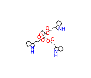 C[C@H]1COC([C@@H](COC(=O)CCc2c[nH]c3ccccc23)OC(=O)CCc2c[nH]c3ccccc23)[C@@H]1OC(=O)CCc1c[nH]c2ccccc12